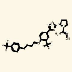 N/C(=N\O)N1CCC[C@H]1c1nc(-c2ccc(OCCCCc3ccc(C(F)(F)F)cc3)c(C(F)(F)F)c2)no1